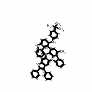 CB1c2cc3oc(-c4ccccc4)c(-c4ccccc4)c3cc2-n2c3ccccc3c3c(C)cc(-c4c(Nc5ccc(C(C)(C)C)cc5)ccc5sc6ccccc6c45)c1c32